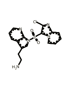 NCCc1cn(S(=O)(=O)c2c(Cl)nc3ccccn23)c2ncccc12